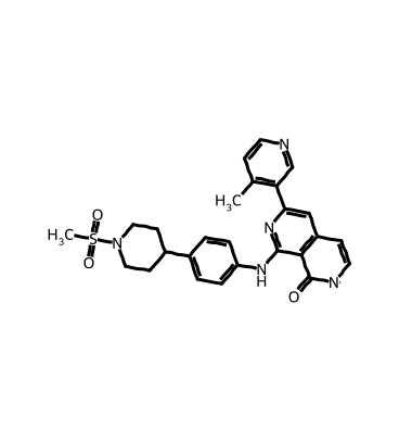 Cc1ccncc1-c1cc2c(c(Nc3ccc(C4CCN(S(C)(=O)=O)CC4)cc3)n1)C(=O)[N]C=C2